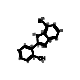 Oc1ccccc1-c1nc2cccc(Br)c2s1